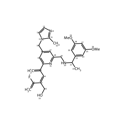 C=C(F)/C(=C\C(=C)c1cc(Cn2ccnc2C)cc(CNC(C)c2cc(OC)cc(OC)c2)n1)CO